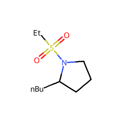 CCCCC1CCCN1S(=O)(=O)CC